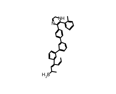 BC(C)/C=C(\C=C/C)c1cccc(-c2cccc(-c3ccc(C4=C(c5ccccc5C)NCC=N4)cc3)c2)c1